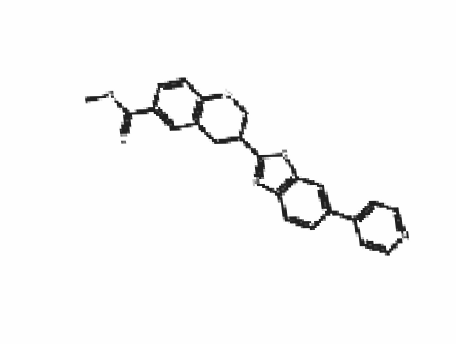 COC(=O)c1ccc2c(c1)CC(c1nc3ccc(-c4ccncc4)cc3s1)CO2